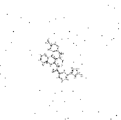 CCN(Nc1ccc(OC)cc1)C(=O)C(Cc1ccccc1)NC(=O)c1cccc(-c2csc(C)n2)c1